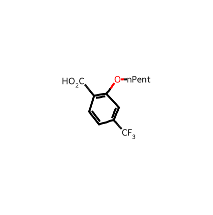 CCCCCOc1cc(C(F)(F)F)ccc1C(=O)O